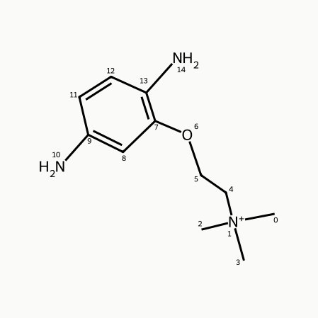 C[N+](C)(C)CCOc1cc(N)ccc1N